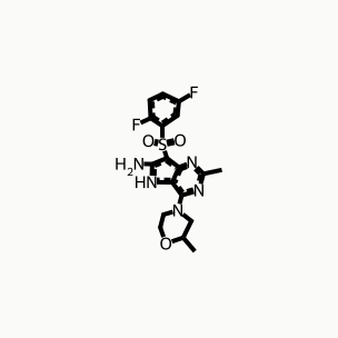 Cc1nc(N2CCOC(C)C2)c2[nH]c(N)c(S(=O)(=O)c3cc(F)ccc3F)c2n1